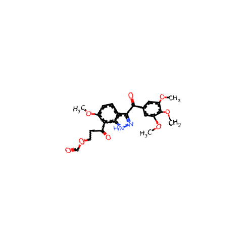 COc1cc(C(=O)c2n[nH]c3c(C(=O)CCOC=O)c(OC)ccc23)cc(OC)c1OC